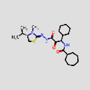 CC(C)[C@@H]1CS/C(=N\NC(=O)C(=O)C(NC(=O)C2CCCCCC2)C2CCCCC2)N1C